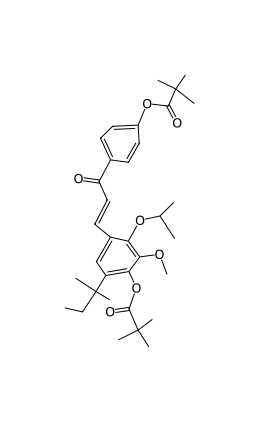 CCC(C)(C)c1cc(C=CC(=O)c2ccc(OC(=O)C(C)(C)C)cc2)c(OC(C)C)c(OC)c1OC(=O)C(C)(C)C